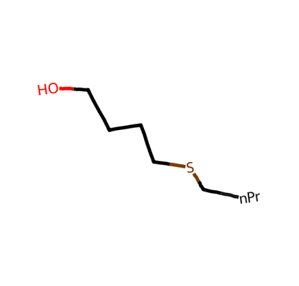 CCCCSCCCCO